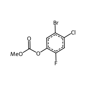 COC(=O)Oc1cc(Br)c(Cl)cc1F